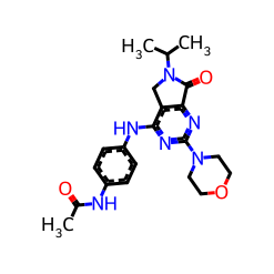 CC(=O)Nc1ccc(Nc2nc(N3CCOCC3)nc3c2CN(C(C)C)C3=O)cc1